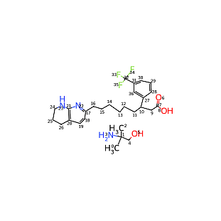 CC(C)(N)CO.O=C(O)CC(CCCCCCc1ccc2c(n1)NCCC2)c1cccc(C(F)(F)F)c1